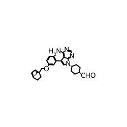 Nc1ncnc2c1c(-c1cccc(OCC34CCC(CC3)O4)c1)cn2[C@H]1CC[C@H](C=O)CC1